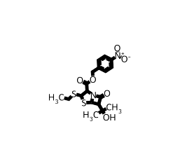 CCSC1SC2C(C(C)(C)O)C(=O)N2C1C(=O)OCc1ccc([N+](=O)[O-])cc1